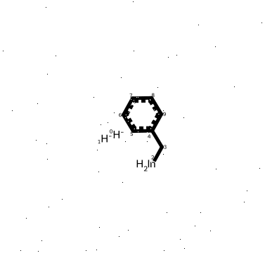 [H-].[H-].[InH2][CH2]c1ccccc1